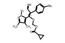 CCn1nc(C)c(C)c1/C(OCOC(=O)C1CC1)=C(\C=N)c1ccc(C(C)(C)C)cc1